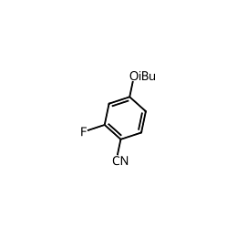 CC(C)COc1ccc(C#N)c(F)c1